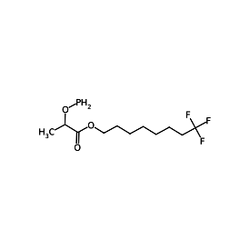 CC(OP)C(=O)OCCCCCCCC(F)(F)F